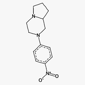 O=[N+]([O-])c1ccc(N2CCN3CCCC3C2)cc1